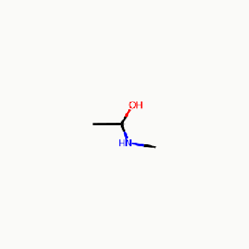 CN[C](C)O